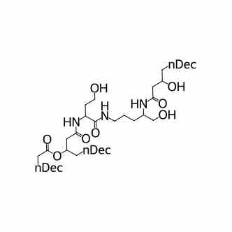 CCCCCCCCCCCC(=O)OC(CCCCCCCCCCC)CC(=O)NC(CCO)C(=O)NCCCC(CO)NC(=O)CC(O)CCCCCCCCCCC